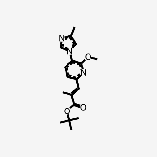 COc1nc(/C=C(\C)C(=O)OC(C)(C)C)ccc1-n1cnc(C)c1